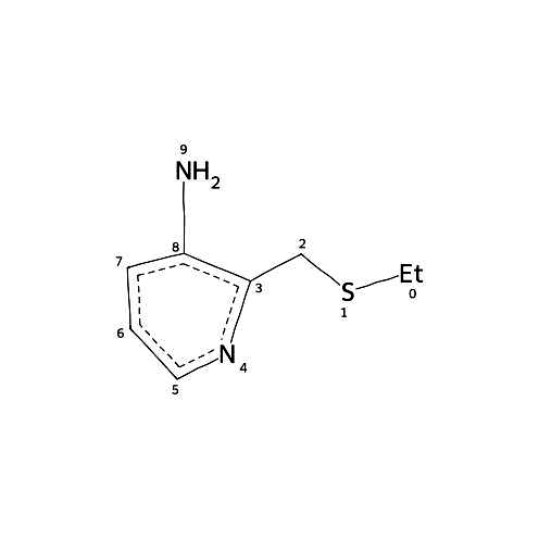 CCSCc1ncccc1N